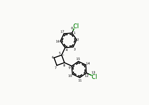 Clc1ccc([C]2CCC2c2ccc(Cl)cc2)cc1